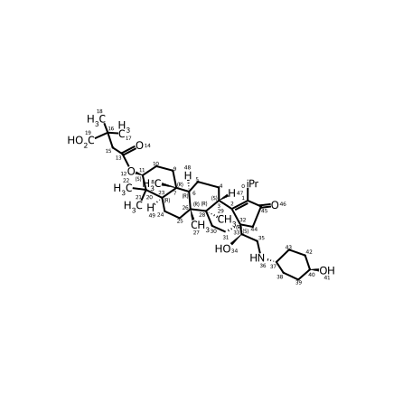 CC(C)C1=C2[C@H]3CC[C@@H]4[C@@]5(C)CC[C@H](OC(=O)CC(C)(C)C(=O)O)C(C)(C)[C@@H]5CC[C@@]4(C)[C@]3(C)CC[C@@]2([C@H](O)CN[C@H]2CC[C@H](O)CC2)CC1=O